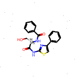 O=C(N[Si@@H](CO)C(=O)Nc1nc(-c2ccccc2)cs1)c1ccccc1